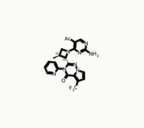 CC(=O)c1cnc(N)nc1N1C[C@H](C)[C@H]1c1nn2ccc(C(F)(F)F)c2c(=O)n1-c1ccccn1